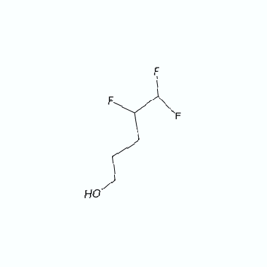 OCCCC(F)C(F)F